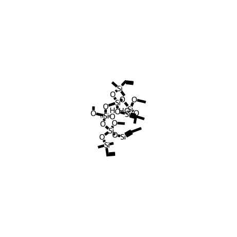 C=C[Si](C)(C)O[Si](OC)(O[Si]#CC)O[Si@](O)(OC)O[Si](O[Si]#CC)(O[Si](C)(C)C=C)O[Si](O)(OC)OC